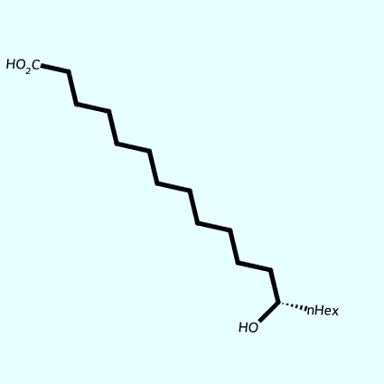 CCCCCC[C@H](O)CCCCCCCCCCCC(=O)O